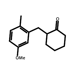 COc1ccc(C)c(CC2CCCCC2=O)c1